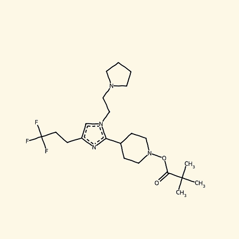 CC(C)(C)C(=O)ON1CCC(c2nc(CCC(F)(F)F)cn2CCN2CCCC2)CC1